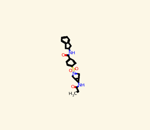 C=CC(=O)NC1C2CN(S(=O)(=O)c3ccc(C(=O)NC4Cc5ccccc5C4)cc3)CC21